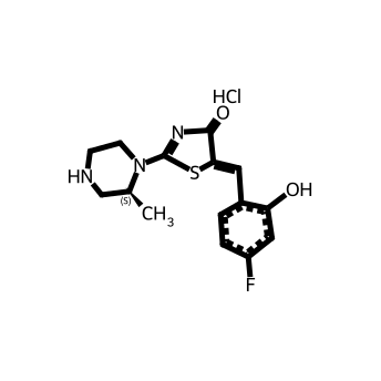 C[C@H]1CNCCN1C1=NC(=O)C(=Cc2ccc(F)cc2O)S1.Cl